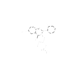 Cc1ccccc1-c1nc2ccc(Br)cc2c(=O)n1CC1CCCN(C(C)C)C1